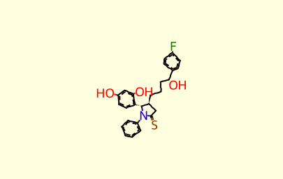 Oc1ccc([C@@H]2[C@@H](CCC[C@@H](O)c3ccc(F)cc3)CC(=S)N2c2ccccc2)c(O)c1